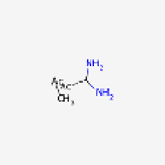 CC(=O)C(N)N.CC(C)=O